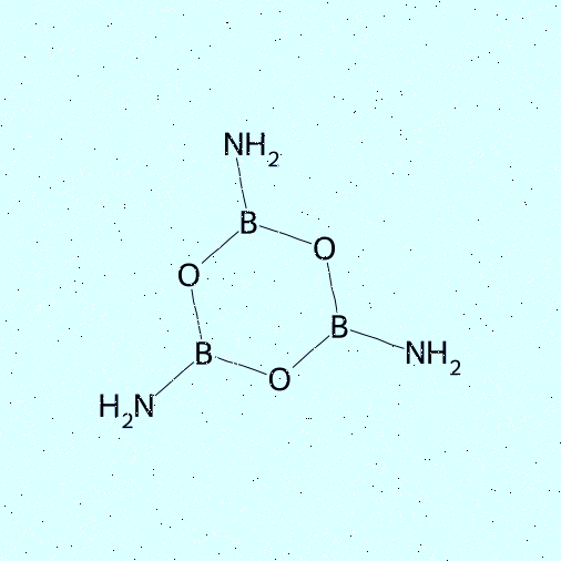 NB1OB(N)OB(N)O1